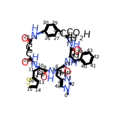 Cn1cnc(C[C@@H]2NC(=O)[C@@H](Cc3cccs3)NC(=O)CCC(=O)Nc3ccc(cc3)C[C@@H](C(=O)O)NC(=O)[C@@H](Cc3ccccc3)NC2=O)c1